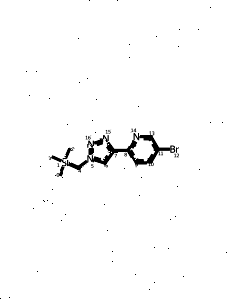 C[Si](C)(C)Cn1cc(-c2ccc(Br)cn2)nn1